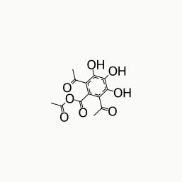 CC(=O)OC(=O)c1c(C(C)=O)c(O)c(O)c(O)c1C(C)=O